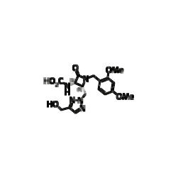 COc1ccc(CN2C(=O)[C@@H](NC(=O)O)[C@H]2Cn2ncc(CO)n2)c(OC)c1